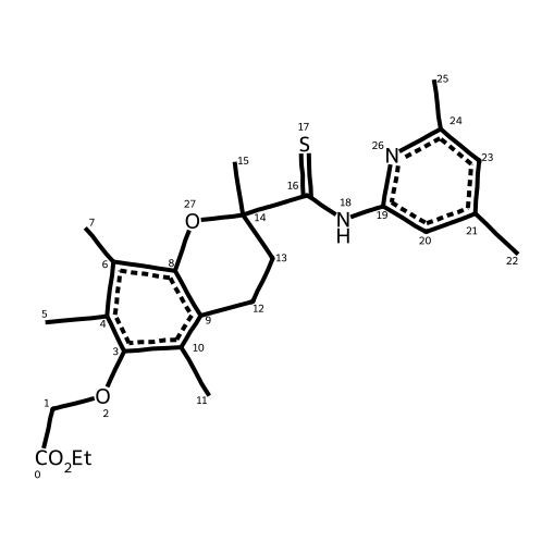 CCOC(=O)COc1c(C)c(C)c2c(c1C)CCC(C)(C(=S)Nc1cc(C)cc(C)n1)O2